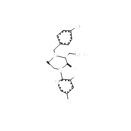 CC(=O)NC[C@H]1C(=O)N(c2ncc(Cl)cc2F)CC(=O)N1Cc1ccc(C(F)(F)F)cc1